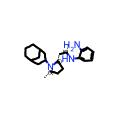 C[C@@H](C[C@@H]1CC[C@H](C)N1C1CC2CCCC(C2)C1)Nc1ccccc1N